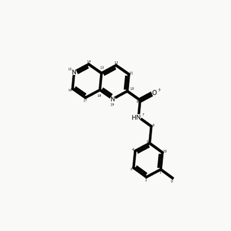 Cc1cccc(CNC(=O)c2ccc3cnccc3n2)c1